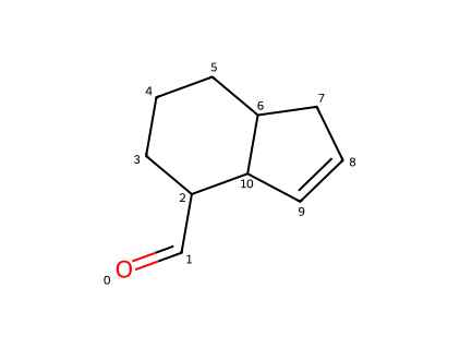 O=CC1CCCC2CC=CC12